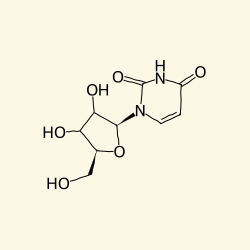 O=c1ccn([C@H]2O[C@@H](CO)C(O)C2O)c(=O)[nH]1